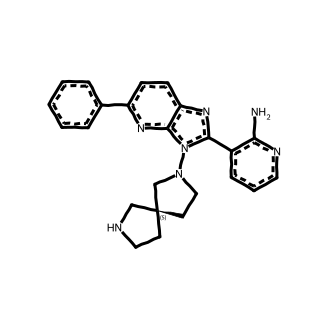 Nc1ncccc1-c1nc2ccc(-c3ccccc3)nc2n1N1CC[C@]2(CCNC2)C1